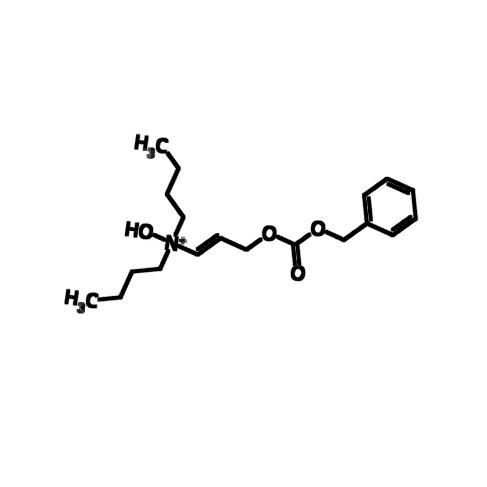 CCCC[N+](O)(/C=C/COC(=O)OCc1ccccc1)CCCC